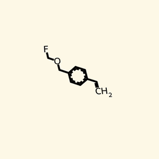 C=Cc1ccc(COCF)cc1